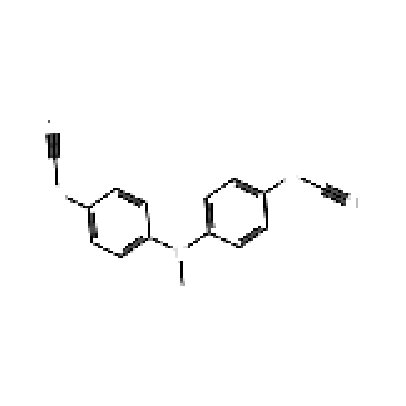 CN(c1ccc(OC#N)cc1)c1ccc(OC#N)cc1